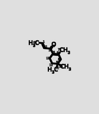 C/C=C/C(=O)C1=C(C)CC(C)(C)CC1